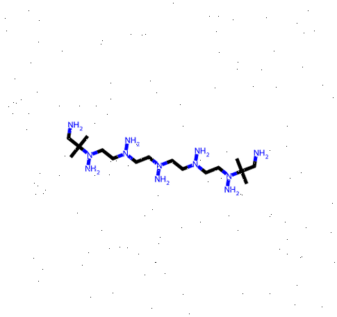 CC(C)(CN)N(N)CCN(N)CCN(N)CCN(N)CCN(N)C(C)(C)CN